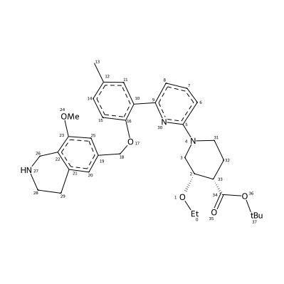 CCO[C@@H]1CN(c2cccc(-c3cc(C)ccc3OCc3cc4c(c(OC)c3)CNCC4)n2)CC[C@@H]1C(=O)OC(C)(C)C